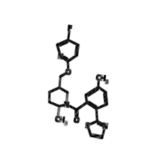 Cc1ccc(-c2nccs2)c(C(=O)N2CC(COc3ccc(F)cn3)CCC2C)c1